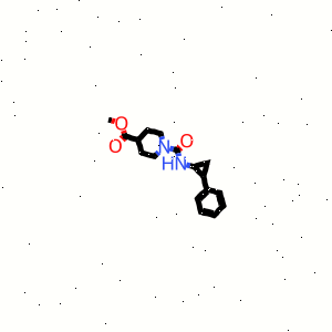 COC(=O)C1CCN(C(=O)NC2CC2c2ccccc2)CC1